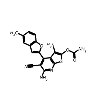 Cc1ccc2oc(-c3c(C#N)c(N)nc4sc(OC(N)=O)c(N)c34)cc2c1